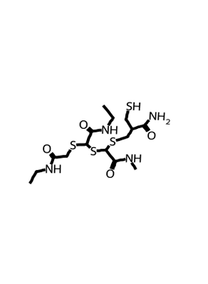 CCNC(=O)CSC(SC(SCC(CS)C(N)=O)C(=O)NC)C(=O)NCC